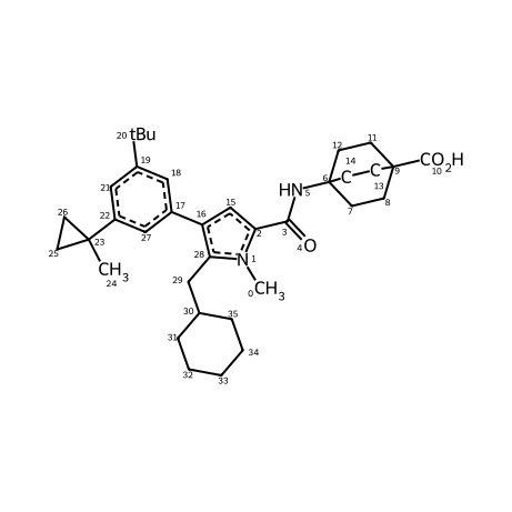 Cn1c(C(=O)NC23CCC(C(=O)O)(CC2)CC3)cc(-c2cc(C(C)(C)C)cc(C3(C)CC3)c2)c1CC1CCCCC1